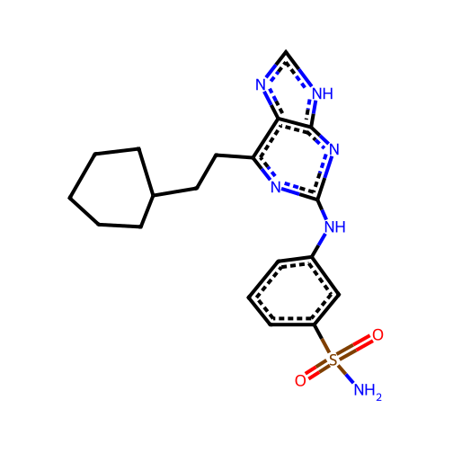 NS(=O)(=O)c1cccc(Nc2nc(CCC3CCCCC3)c3nc[nH]c3n2)c1